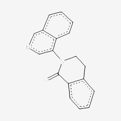 O=C1c2ccccc2CCN1c1cncc2ccccc12